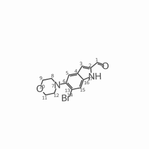 O=Cc1cc2cc(N3CCOCC3)c(Br)cc2[nH]1